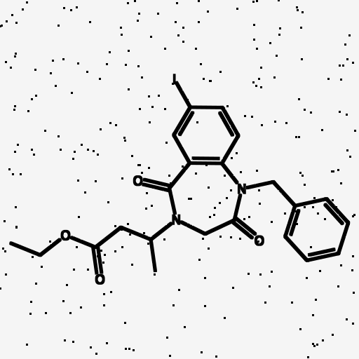 CCOC(=O)CC(C)N1CC(=O)N(Cc2ccccc2)c2ccc(I)cc2C1=O